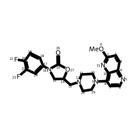 COc1ccc2nccc(N3CCN(CC4CN(c5ccc(F)c(F)c5)C(=O)O4)CC3)c2n1